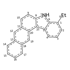 CCc1cccc2c1[nH]c1ccc3cc4ccccc4cc3c12